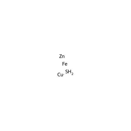 S.[Cu].[Fe].[Zn]